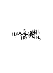 CC[PH](C)(OC)OCC(O)C(F)CCN